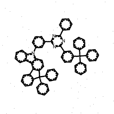 c1ccc(-c2nc(-c3cccc(-n4c5ccccc5c5c6c(ccc54)C(c4ccccc4)(c4ccccc4)c4ccccc4-6)c3)nc(-c3cccc(C(c4ccccc4)(c4ccccc4)c4ccccc4)c3)n2)cc1